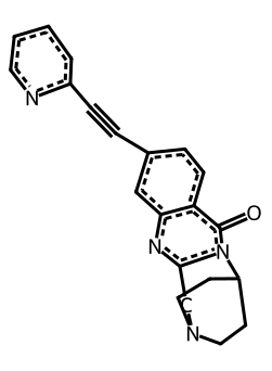 O=c1c2ccc(C#Cc3ccccn3)cc2nc2n1C1CCN(CC1)C2